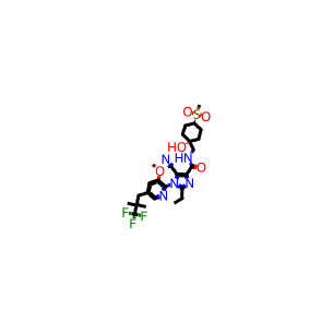 CCc1nc(C(=O)NC[C@]2(O)CC[C@@H](S(C)(=O)=O)CC2)c(C#N)n1-c1ncc(CC(C)(C)C(F)(F)F)cc1OC